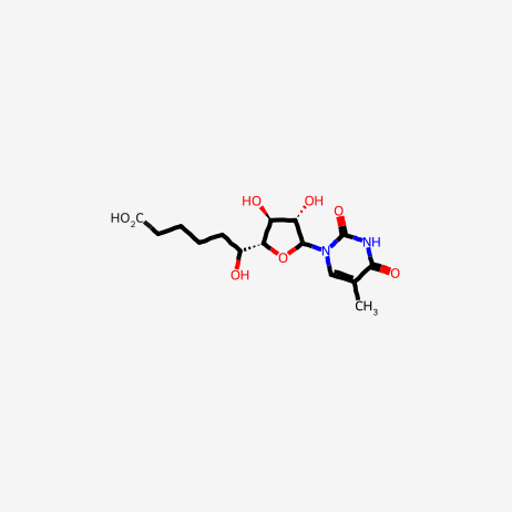 Cc1cn(C2O[C@H](C(O)CCCCC(=O)O)[C@@H](O)[C@@H]2O)c(=O)[nH]c1=O